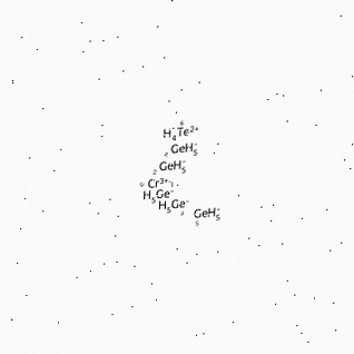 [Cr+3].[GeH5-].[GeH5-].[GeH5-].[GeH5-].[GeH5-].[TeH4+2]